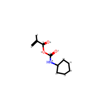 C=C(C)C(=O)OC(=O)NC1CCCCC1